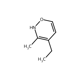 CCC1=C(C)NOC=C1